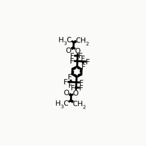 C=C(C)C(=O)OC(F)(F)C(F)(c1ccc(C(F)(C(F)(F)F)C(F)(F)OC(=O)C(=C)C)cc1)C(F)(F)F